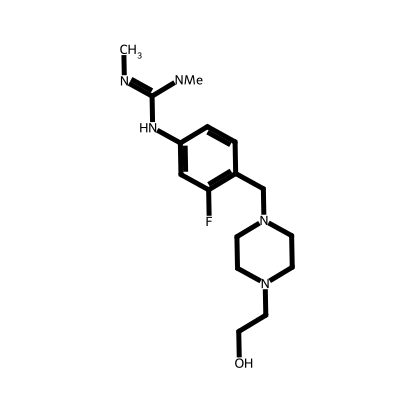 C/N=C(\NC)Nc1ccc(CN2CCN(CCO)CC2)c(F)c1